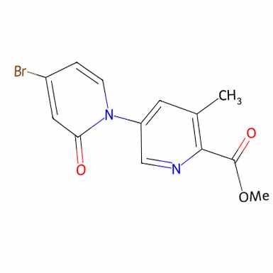 COC(=O)c1ncc(-n2ccc(Br)cc2=O)cc1C